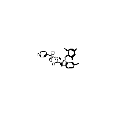 Cc1cc(C)c(Cn2c(C(=O)NS(=O)(=O)c3ccncc3)cc3ccc(C)cc32)c(C)c1